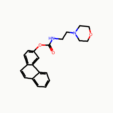 O=C(NCCN1CCOCC1)Oc1ccc2ccc3ccccc3c2c1